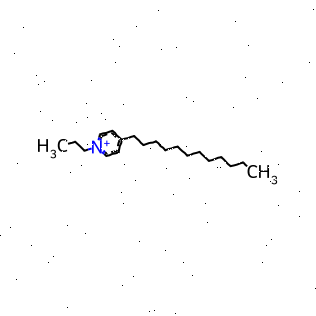 CCCCCCCCCCCCc1cc[n+](CCC)cc1